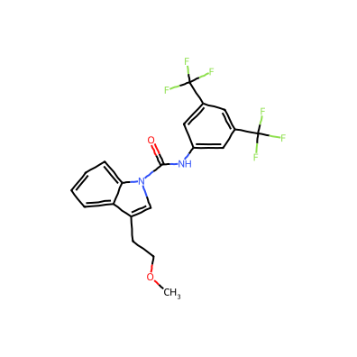 COCCc1cn(C(=O)Nc2cc(C(F)(F)F)cc(C(F)(F)F)c2)c2ccccc12